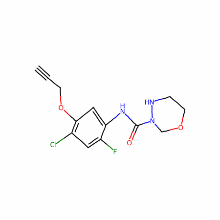 C#CCOc1cc(NC(=O)N2COCCN2)c(F)cc1Cl